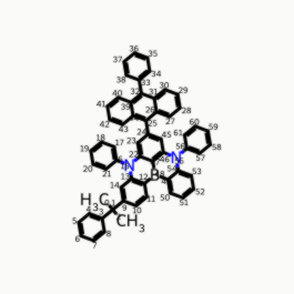 CC(C)(c1ccccc1)c1ccc2c(c1)N(c1ccccc1)c1cc(-c3c4ccccc4c(-c4ccccc4)c4ccccc34)cc3c1B2c1ccccc1N3c1ccccc1